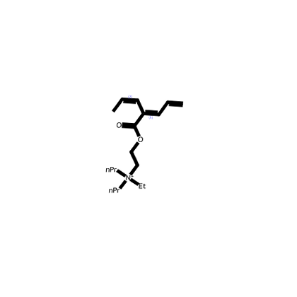 C=C/C=C(\C=C/C)C(=O)OCC[N+](CC)(CCC)CCC